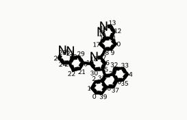 c1ccc2c(-c3cc(-c4ccc5ccnnc5c4)nc(-c4ccc5ccnnc5c4)c3)c3ccccc3cc2c1